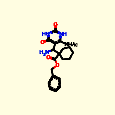 CC(=O)Nc1[nH]c(=O)[nH]c(=O)c1C(N)C1(C(=O)OCc2ccccc2)CCCCC1